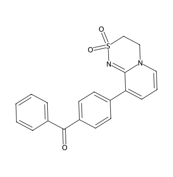 O=C(c1ccccc1)c1ccc(C2=CC=CN3CCS(=O)(=O)N=C23)cc1